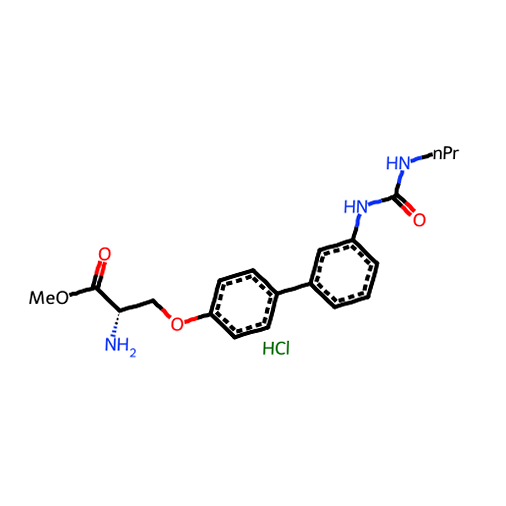 CCCNC(=O)Nc1cccc(-c2ccc(OC[C@H](N)C(=O)OC)cc2)c1.Cl